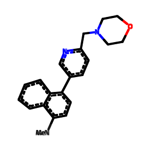 CNc1ccc(-c2ccc(CN3CCOCC3)nc2)c2ccccc12